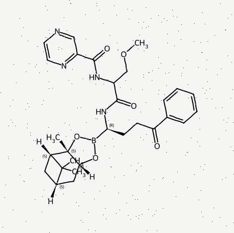 COCC(NC(=O)c1cnccn1)C(=O)N[C@@H](CCC(=O)c1ccccc1)B1O[C@@H]2C[C@@H]3C[C@@H](C3(C)C)[C@]2(C)O1